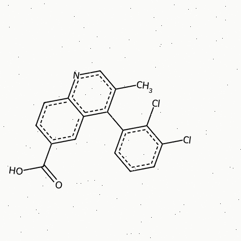 Cc1cnc2ccc(C(=O)O)cc2c1-c1cccc(Cl)c1Cl